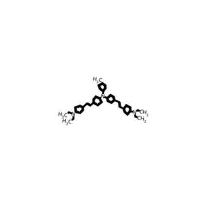 CCN(CC)c1ccc(C=Cc2ccc(N(c3ccc(C)cc3)c3ccc(C=Cc4ccc(N(CC)CC)cc4)cc3)cc2)cc1